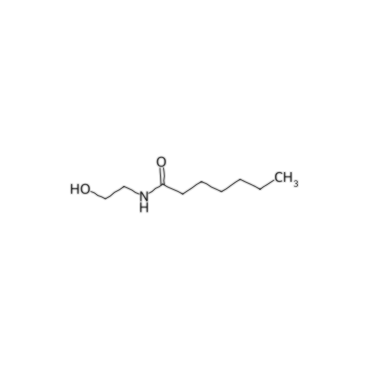 CCCCCCC(=O)NCCO